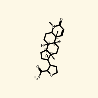 CN1C(=O)C=C[C@@]2(C)C1CC[C@@H]1[C@H]2CC[C@]2(C)C(C3CCOC3C(N)=O)CC[C@@H]12